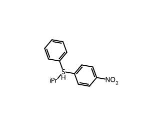 CC(C)[SH](c1ccccc1)c1ccc([N+](=O)[O-])cc1